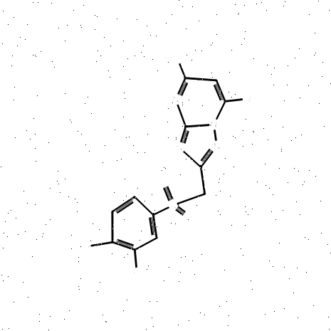 Cc1cc(S)n2nc(CS(=O)(=O)c3ccc(O)c(O)c3)nc2n1